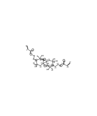 C=CC(=O)OCCN1C(C)(C)CC(O)(C2(O)CC(C)(C)N(CCOC(=O)C=C)C(C)(C)C2)CC1(C)C